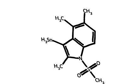 Cc1ccc2c(c1C)[c]([SnH3])c(C)n2S(C)(=O)=O